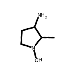 CC1C(N)CCN1O